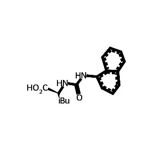 CC[C@H](C)[C@H](NC(=O)Nc1cccc2ccccc12)C(=O)O